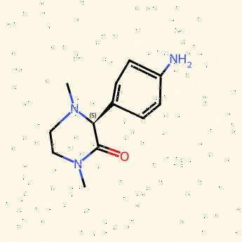 CN1CCN(C)[C@@H](c2ccc(N)cc2)C1=O